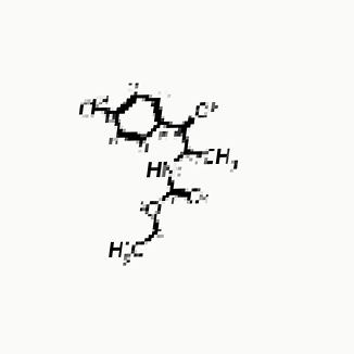 CCOC(=O)NC(C)C(=O)c1ccc(Cl)cc1